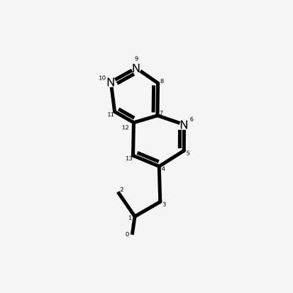 CC(C)Cc1cnc2cnncc2c1